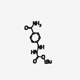 CC(C)(C)OC(=O)NNc1ccc(C(N)=O)cc1